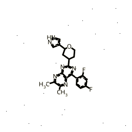 Cc1nc2nc(C3CCOC(c4cn[nH]c4)C3)nc(-c3ccc(F)cc3F)c2nc1C